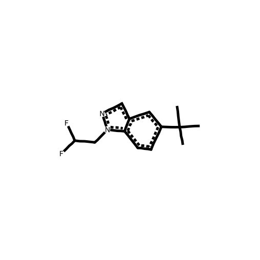 CC(C)(C)c1ccc2c(cnn2CC(F)F)c1